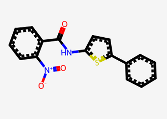 O=C(Nc1ccc(-c2ccccc2)s1)c1ccccc1[N+](=O)[O-]